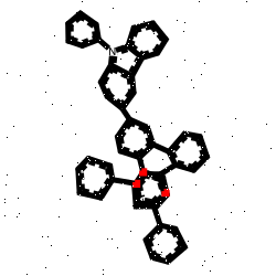 c1ccc(-c2nc(-c3ccccc3)nc(-c3ccccc3-c3cc(-c4ccc5c(c4)c4ccccc4n5-c4ccccc4)ccc3-c3ccccc3)n2)cc1